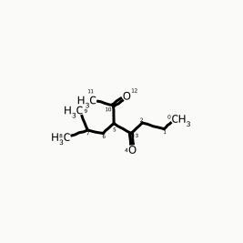 CCCC(=O)C(CC(C)C)C(C)=O